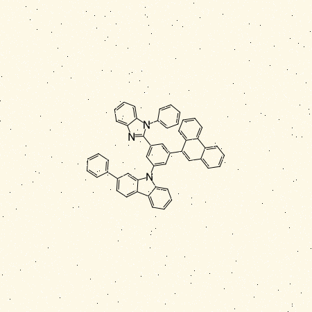 c1ccc(-c2ccc3c4ccccc4n(-c4cc(-c5cc6ccccc6c6ccccc56)cc(-c5nc6ccccc6n5-c5ccccc5)c4)c3c2)cc1